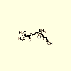 C#CCCC[N+](C)(C)CCOC(=O)C(=C)C